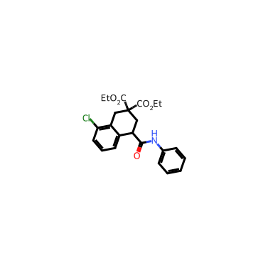 CCOC(=O)C1(C(=O)OCC)Cc2c(Cl)cccc2C(C(=O)Nc2ccccc2)C1